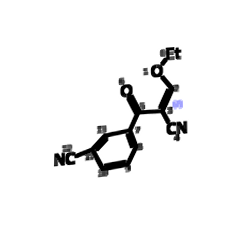 CCO/C=C(/C#N)C(=O)c1cccc(C#N)c1